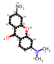 CN(C)c1ccc2c(=O)c3ccc([N+](=O)[O-])cc3oc2c1